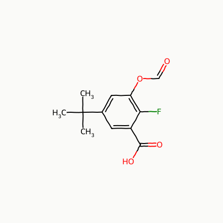 CC(C)(C)c1cc(OC=O)c(F)c(C(=O)O)c1